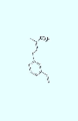 C=Cc1cccc(CC=C(C)C(=O)O)c1